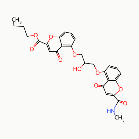 CCCCOC(=O)c1cc(=O)c2c(OCC(O)COc3cccc4oc(C(=O)NC)cc(=O)c34)cccc2o1